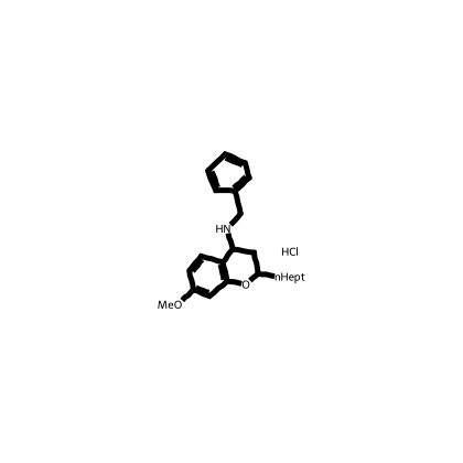 CCCCCCCC1CC(NCc2ccccc2)c2ccc(OC)cc2O1.Cl